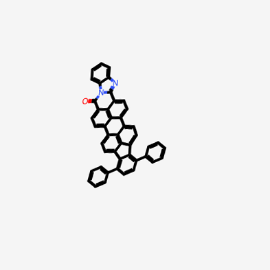 O=c1c2ccc3c4ccc5c6c(ccc(c7ccc(c2c37)c2nc3ccccc3n12)c64)-c1c(-c2ccccc2)ccc(-c2ccccc2)c1-5